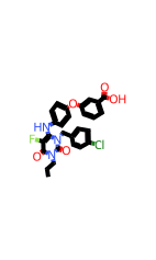 CCCn1c(=O)c(F)c(Nc2ccc(Oc3cccc(C(=O)O)c3)cc2)n(Cc2ccc(Cl)cc2)c1=O